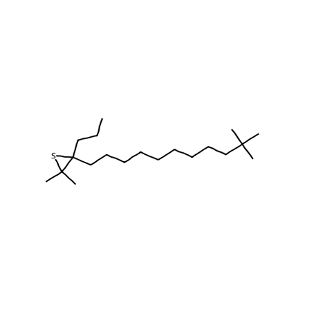 CCCC1(CCCCCCCCCC(C)(C)C)SC1(C)C